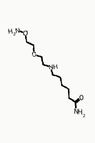 NOCCOCCNCCCCCC(N)=O